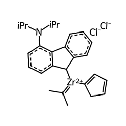 C[C](C)=[Zr+2]([C]1=CC=CC1)[CH]1c2ccccc2-c2c1cccc2N(C(C)C)C(C)C.[Cl-].[Cl-]